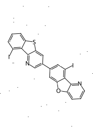 Ic1cc(-c2cnc3c(c2)sc2cccc(I)c23)cc2oc3cccnc3c12